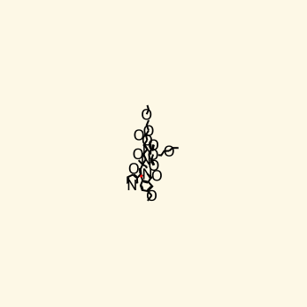 CCOCCOC(=O)OCN(C=O)C(=O)N(C(=O)OCCOCC)C(C)(CN1Cc2ccc(OC)cc2C1=O)c1cc2cnccc2o1